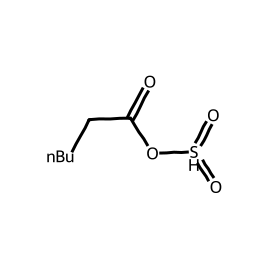 CCCCCC(=O)O[SH](=O)=O